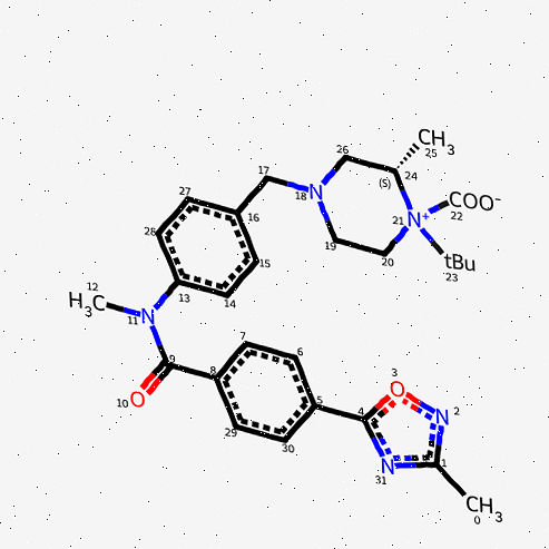 Cc1noc(-c2ccc(C(=O)N(C)c3ccc(CN4CC[N+](C(=O)[O-])(C(C)(C)C)[C@@H](C)C4)cc3)cc2)n1